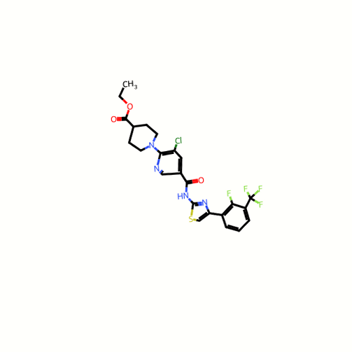 CCOC(=O)C1CCN(c2ncc(C(=O)Nc3nc(-c4cccc(C(F)(F)F)c4F)cs3)cc2Cl)CC1